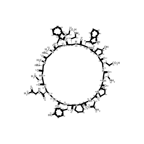 CCCC[C@H]1C(=O)N(C)[C@@H](CCCC)C(=O)N[C@@H](CN)C(=O)N[C@H](C(=O)NCC(N)=O)CSCC(=O)N[C@@H](Cc2ccc(O)cc2)C(=O)N2CCCC[C@H]2C(=O)N[C@@H](CC(N)=O)C(=O)N2CCC[C@H]2C(=O)N[C@@H](CN)C(=O)N[C@@H](CCC(=O)O)C(=O)N2C[C@H](O)C[C@H]2C(=O)N[C@@H](Cc2c[nH]c3ccccc23)C(=O)N[C@@H](CCN)C(=O)N[C@@H](Cc2cn(CC(=O)O)c3ccccc23)C(=O)N1C